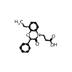 CCc1cccc2c1OC(c1ccccc1)C(=O)N2CCC(=O)O